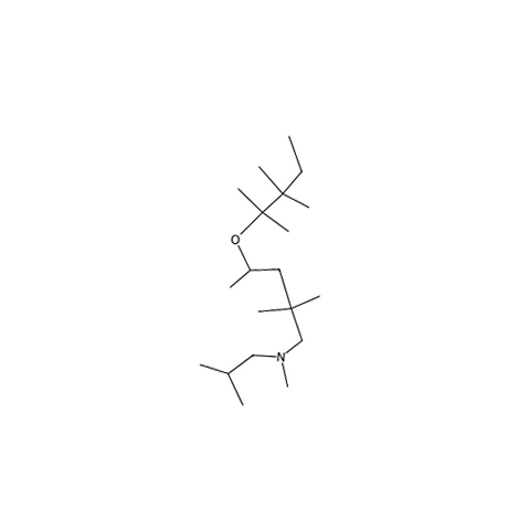 CCC(C)(C)C(C)(C)OC(C)CC(C)(C)CN(C)CC(C)C